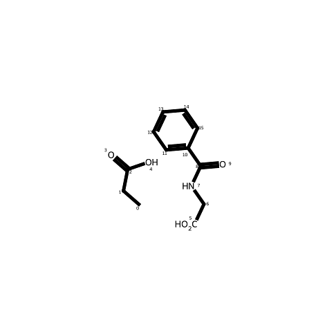 CCC(=O)O.O=C(O)CNC(=O)c1ccccc1